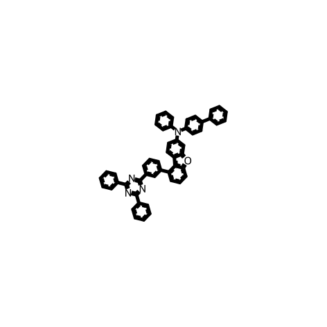 c1ccc(-c2ccc(N(c3ccccc3)c3ccc4c(c3)oc3cccc(-c5cccc(-c6nc(-c7ccccc7)nc(-c7ccccc7)n6)c5)c34)cc2)cc1